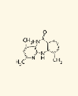 Cc1cc(C)c2c(n1)Nc1c(C)cccc1C(=O)N2